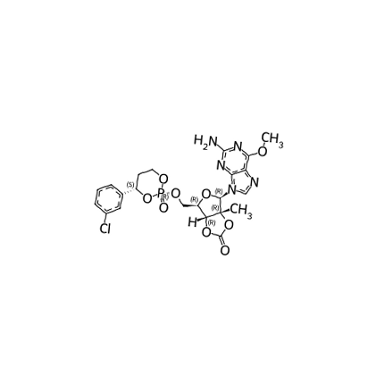 COc1nc(N)nc2c1ncn2[C@@H]1O[C@H](CO[P@@]2(=O)OCC[C@@H](c3cccc(Cl)c3)O2)[C@H]2OC(=O)O[C@]21C